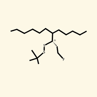 CCCCCCC(CCCCC)[C@H](CCF)SSC(C)(C)C